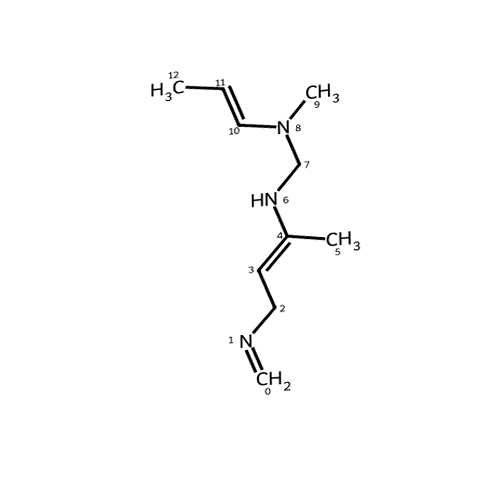 C=NC/C=C(\C)NCN(C)/C=C/C